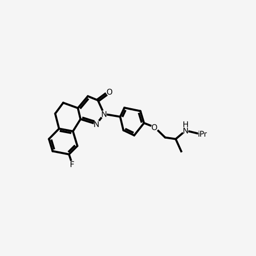 CC(C)NC(C)COc1ccc(-n2nc3c(cc2=O)CCc2ccc(F)cc2-3)cc1